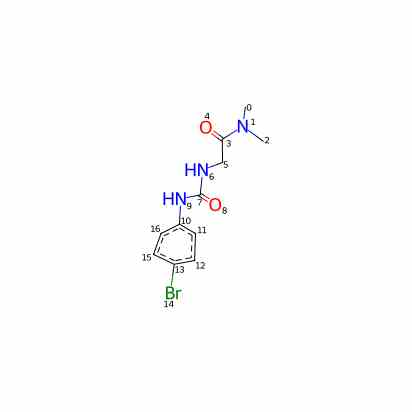 CN(C)C(=O)CNC(=O)Nc1ccc(Br)cc1